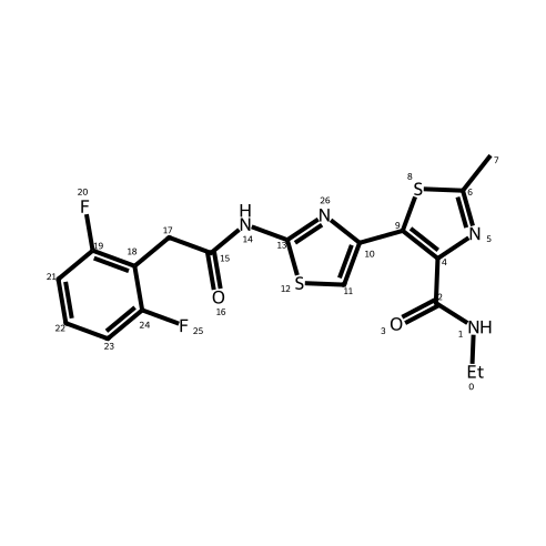 CCNC(=O)c1nc(C)sc1-c1csc(NC(=O)Cc2c(F)cccc2F)n1